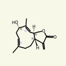 C=C1C(=O)O[C@@H]2/C=C(\C)[C@@H](O)C/C=C(\C)CC[C@@H]12